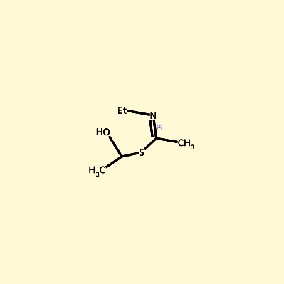 CC/N=C(/C)SC(C)O